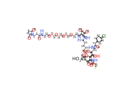 O=C(CCN1C(=O)C=CC1=O)NCCOCCOCCOCCOCCNc1c(NCCCCCCO[C@]2(C(=O)O)C[C@H](O)[C@@H](NC(=O)CF)[C@H]([C@H](O)[C@H](O)CNC(=O)Cc3ccc(Cl)cc3)O2)c(=O)c1=O